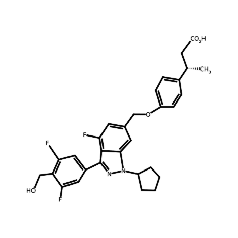 C[C@@H](CC(=O)O)c1ccc(OCc2cc(F)c3c(-c4cc(F)c(CO)c(F)c4)nn(C4CCCC4)c3c2)cc1